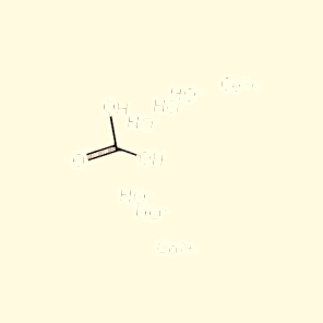 O=C(O)O.[Ce+3].[Co+2].[OH-].[OH-].[OH-].[OH-].[OH-]